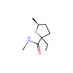 CCC1(C(=O)NC)CC[C@H](C)O1